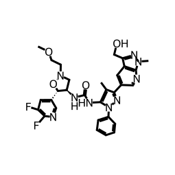 COCCN1C[C@@H](NC(=O)Nc2c(C)c(-c3cnc4c(c3)c(CO)nn4C)nn2-c2ccccc2)[C@H](c2cnc(F)c(F)c2)O1